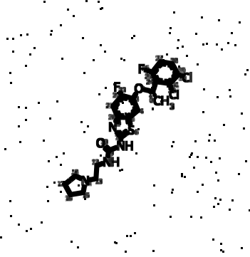 C[C@@H](Oc1cc2sc(NC(=O)NCCN3CCCC3)nc2cc1F)c1c(F)ccc(Cl)c1Cl